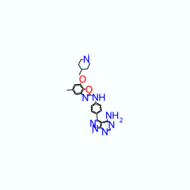 Cc1cc(OCC2CCN(C)CC2)c2oc(Nc3ccc(-c4nn(C)c5ncnc(N)c45)cc3)nc2c1